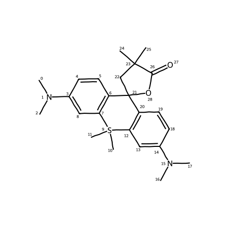 CN(C)c1ccc2c(c1)S(C)(C)c1cc(N(C)C)ccc1C21CC(C)(C)C(=O)O1